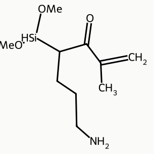 C=C(C)C(=O)C(CCCN)[SiH](OC)OC